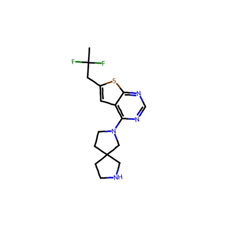 CC(F)(F)Cc1cc2c(N3CCC4(CCNC4)C3)ncnc2s1